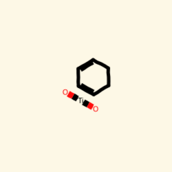 C1=CCCC=C1.[O]=[Ti]=[O]